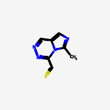 Cc1ncc2cnnc(C=S)n12